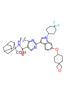 O=C(NC1(C(=O)O)C2CC3CC(C2)CC1C3)c1cnc(-c2cn(C3CCC(F)(F)CC3)c3cc(OC4CCC5(CC4)COC5)ccc23)nc1C(F)(F)F